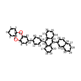 c1ccc2c(c1)Oc1ccc(-c3ccc(-c4c5ccccc5c(-c5ccc6ccccc6c5)c5ccccc45)cc3)cc1O2